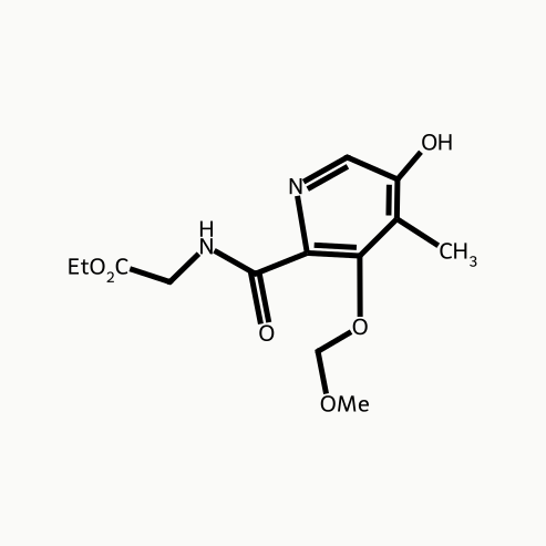 CCOC(=O)CNC(=O)c1ncc(O)c(C)c1OCOC